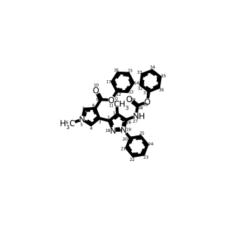 Cc1c(-c2cn(C)cc2C(=O)Oc2ccccc2)nn(-c2ccccc2)c1NC(=O)Oc1ccccc1